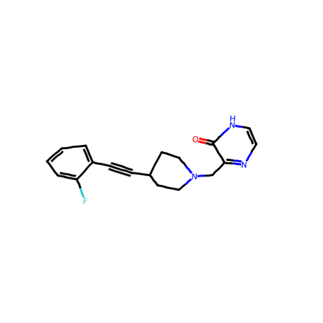 O=c1[nH]ccnc1CN1CCC(C#Cc2ccccc2F)CC1